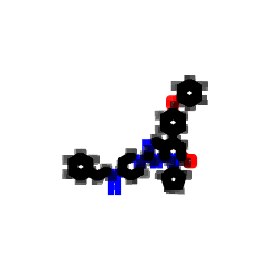 O=c1cc(-c2ccc(Oc3ccccc3)cc2)c2cnc(N3CCC(NCCc4ccccc4)CC3)nc2n1C1CCCC1